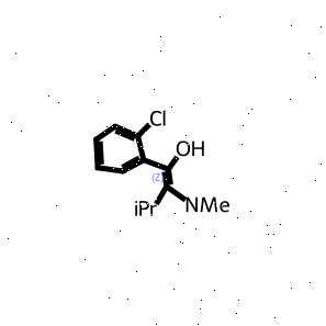 CN/C(=C(\O)c1ccccc1Cl)C(C)C